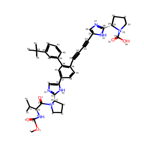 COC(=O)N[C@H](C(=O)N1CCC[C@H]1c1ncc(-c2ccc(C#CC#Cc3cnc([C@@H]4CCCN4C(=O)O)[nH]3)c(-c3cccc(C(C)(C)C)c3)c2)[nH]1)C(C)C